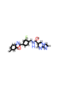 Cc1ccc2nc(-c3ccc(CNC(=O)c4cnc5nccn5c4)c(F)c3)oc2c1